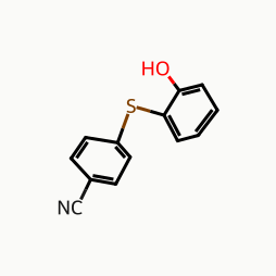 N#Cc1ccc(Sc2ccccc2O)cc1